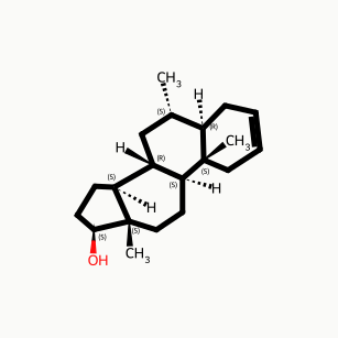 C[C@H]1C[C@@H]2[C@H](CC[C@]3(C)[C@@H](O)CC[C@@H]23)[C@@]2(C)CC=CC[C@H]12